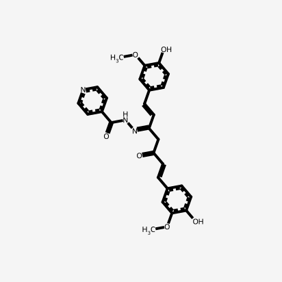 COc1cc(C=CC(=O)CC(C=Cc2ccc(O)c(OC)c2)=NNC(=O)c2ccncc2)ccc1O